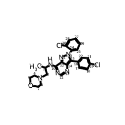 CC(CN1CCOCC1)Nc1ncnc2c(-c3ccc(Cl)cc3)n(-c3ccccc3Cl)nc12